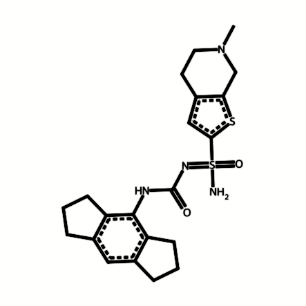 CN1CCc2cc(S(N)(=O)=NC(=O)Nc3c4c(cc5c3CCC5)CCC4)sc2C1